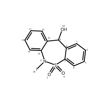 O=S1(=O)c2ccccc2C(O)c2ccccc2N1I